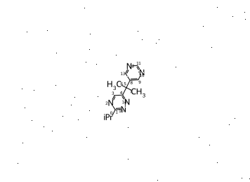 CC(C)c1ncc(C(C)(C)c2cncnc2)nn1